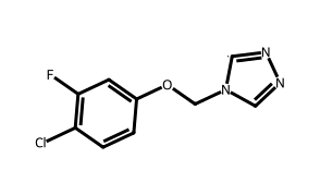 Fc1cc(OCn2[c]nnc2)ccc1Cl